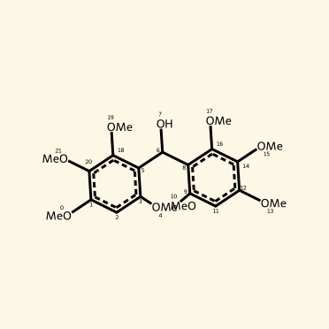 COc1cc(OC)c(C(O)c2c(OC)cc(OC)c(OC)c2OC)c(OC)c1OC